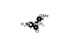 COc1ccc(C(C)=Cn2c3c(c4cc(Cl)ccc42)CCN(C)CC3)cc1F